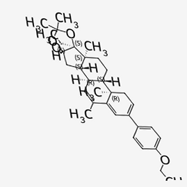 CCOc1ccc(C2=CC[C@@]3(C)C(=C2)C(C)=C[C@@H]2[C@@H]3CC[C@@]3(C)[C@H]2C[C@@H]2OC(C)(C)O[C@]23C(C)=O)cc1